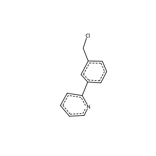 ClCc1cccc(-c2ccccn2)c1